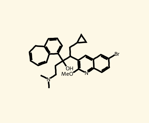 COc1nc2ccc(Br)cc2cc1C(CC1CC1)C(O)(CCN(C)C)c1cccc2c1C=CC=CC2